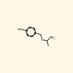 CC(N)OCc1ccc(O)cc1